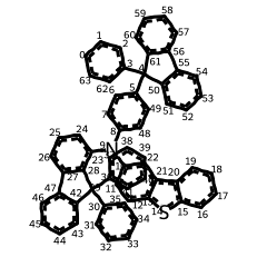 c1ccc(C2(c3ccc(N(c4ccc5sc6ccccc6c5c4)c4cccc5c4C(c4ccccc4)(c4ccccc4)c4ccccc4-5)cc3)c3ccccc3-c3ccccc32)cc1